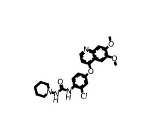 COc1cc2nccc(Oc3ccc(NC(=O)NN4CCCCC4)c(Cl)c3)c2cc1OC